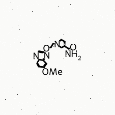 COc1ccc2ncc(OCCN3CCC(C(N)=O)C3)nc2c1